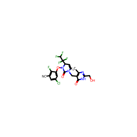 Cc1nc(CO)[nH]c(=O)c1CN1C=CC(C(F)(F)C(F)F)N(Oc2cc(Cl)cc(C#N)c2F)C1=O